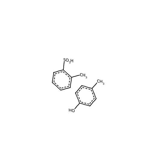 Cc1ccc(O)cc1.Cc1ccccc1S(=O)(=O)O